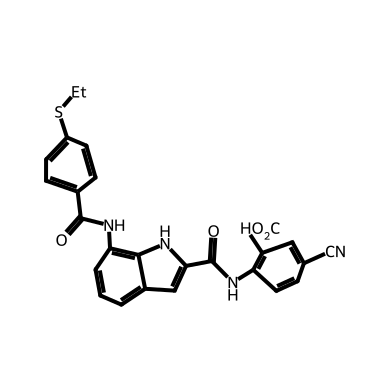 CCSc1ccc(C(=O)Nc2cccc3cc(C(=O)Nc4ccc(C#N)cc4C(=O)O)[nH]c23)cc1